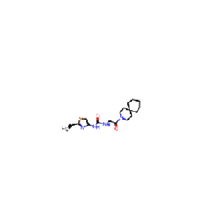 C#Cc1nc(NC(=O)NCC(=O)N2CCC3(CCCCC3)CC2)cs1